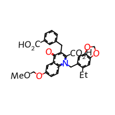 CCc1cc2c(cc1Cn1c(C(=O)O)c(Cc3cccc(C(=O)O)c3)c(=O)c3cc(OCOC)ccc31)OCO2